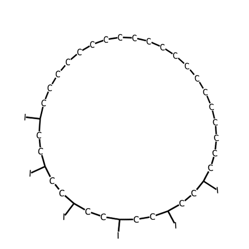 IC1CCCCCCCCCCCCCCCCCCCCC(I)CCC(I)CCC(I)CCC(I)CCC(I)CC1